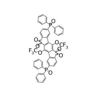 O=P(c1ccccc1)(c1ccccc1)c1ccc2c(c1)-c1c(OC(F)(F)F)c3c(c(OC(F)(F)F)c1S2(=O)=O)-c1cc(P(=O)(c2ccccc2)c2ccccc2)ccc1S3(=O)=O